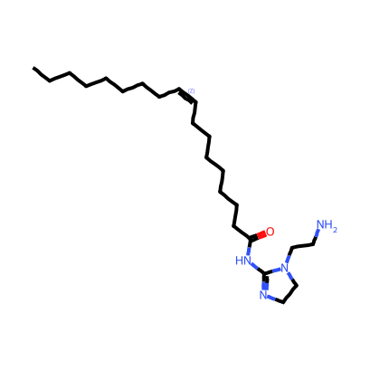 CCCCCCCC/C=C\CCCCCCCC(=O)NC1=NCCN1CCN